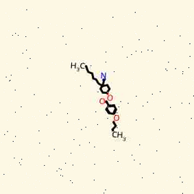 CCCCCCCC1(C#N)CCC(OC(=O)c2ccc(OCCCC)cc2)CC1